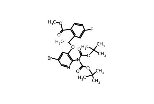 COC(=O)c1ccc(F)cc1[C@@H](C)Oc1cc(Br)cnc1N(C(=O)OC(C)(C)C)C(=O)OC(C)(C)C